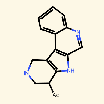 CC(=O)C1CNCc2c1[nH]c1cnc3ccccc3c21